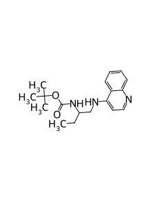 CCC(CNc1ccnc2ccccc12)NC(=O)OC(C)(C)C